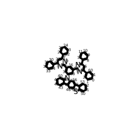 c1ccc(-c2cc(-c3ccccc3)nc(-c3cc(-c4nc(-c5ccccc5)cc(-c5ccccc5)n4)cc(-n4c5ccccc5c5cc6sc7ccccc7c6cc54)c3)n2)cc1